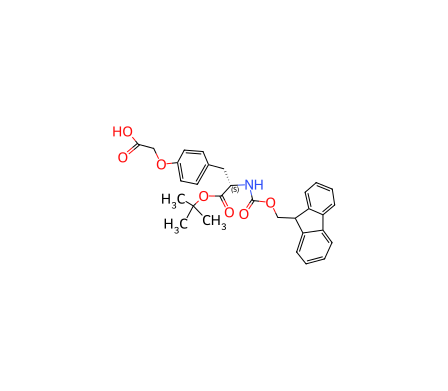 CC(C)(C)OC(=O)[C@H](Cc1ccc(OCC(=O)O)cc1)NC(=O)OCC1c2ccccc2-c2ccccc21